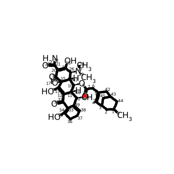 CC1CC2C=C(CC(=O)O[C@H]3[C@H]4C(=C(O)[C@]5(OI)C(=O)C(C(N)=O)=C(O)[C@@H](N(C)C)[C@H]35)C(=O)C3=C(O)CCC=C3[C@@H]4C)CC(C1)C2